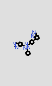 c1ccc(-c2nc(-c3ccc(-c4cccc5cncnc45)cc3)nc(-c3ccc4cncnc4c3)n2)cc1